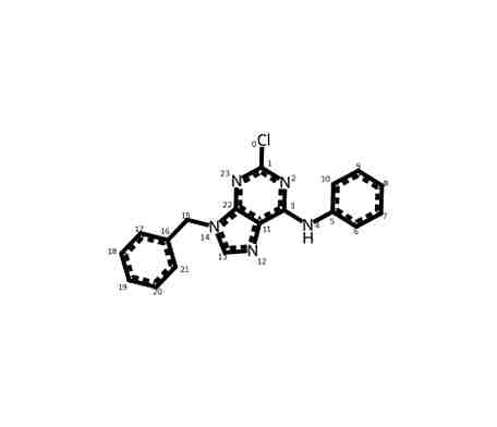 Clc1nc(Nc2ccccc2)c2ncn(Cc3ccccc3)c2n1